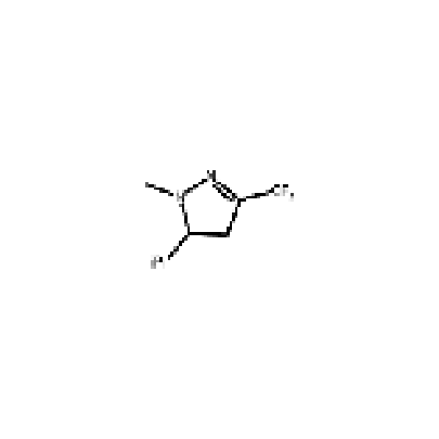 CC(C)C1CC(C(F)(F)F)=NN1C